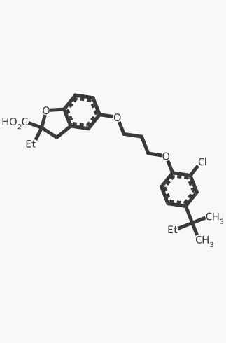 CCC1(C(=O)O)Cc2cc(OCCCOc3ccc(C(C)(C)CC)cc3Cl)ccc2O1